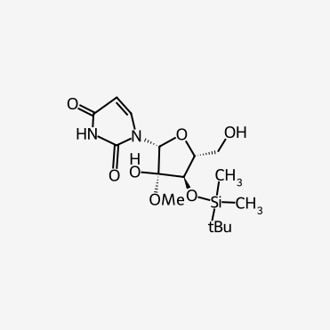 CO[C@@]1(O)[C@H](O[Si](C)(C)C(C)(C)C)[C@@H](CO)O[C@H]1n1ccc(=O)[nH]c1=O